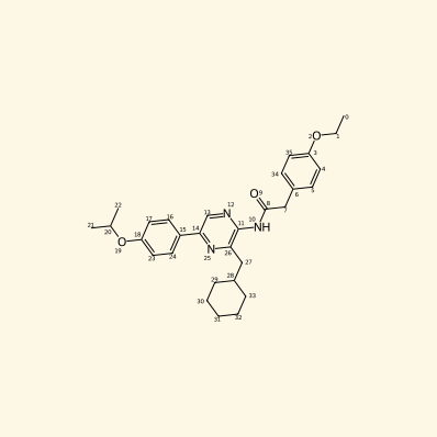 CCOc1ccc(CC(=O)Nc2ncc(-c3ccc(OC(C)C)cc3)nc2CC2CCCCC2)cc1